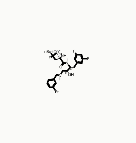 CCCCC(F)(F)C[C@@H](NC(=O)O)C(=O)N[C@@H](Cc1cc(F)cc(F)c1)[C@H](O)CNCc1cccc(CC)c1